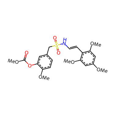 COC(=O)Oc1cc(CS(=O)(=O)NC=Cc2c(OC)cc(OC)cc2OC)ccc1OC